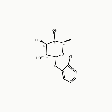 C[C@H]1OC(Sc2ccccc2Cl)[C@H](O)[C@@H](O)[C@H]1O